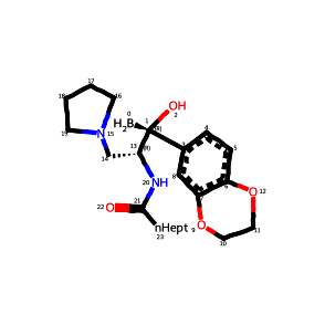 B[C@@](O)(c1ccc2c(c1)OCCO2)[C@@H](CN1CCCC1)NC(=O)CCCCCCC